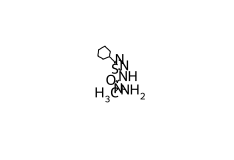 CN(N)C(=O)Nc1nnc(C2CCCCC2)s1